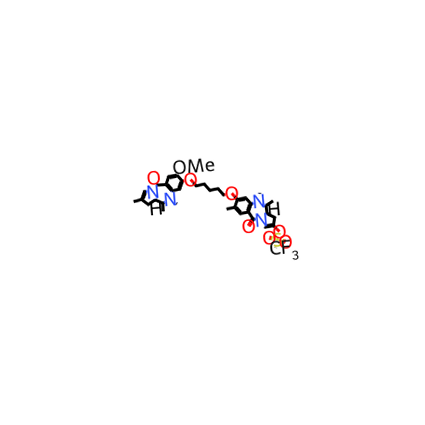 COc1cc2c(cc1OCCCCCOc1cc3c(cc1C)C(=O)N1C=C(OS(=O)(=O)C(F)(F)F)C[C@H]1C(C)N3C)N(C)C(C)[C@@H]1CC(C)=CN1C2=O